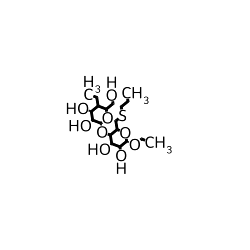 CCCSCC1O[C@H](OCC)C(O)[C@@H](O)C1O[C@H]1OC(CO)C(CC)[C@H](O)C1O